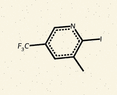 Cc1cc(C(F)(F)F)cnc1I